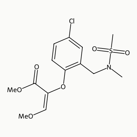 COC=C(Oc1ccc(Cl)cc1CN(C)S(C)(=O)=O)C(=O)OC